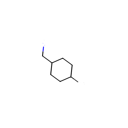 CC(=O)OC1CCC(CN)CC1